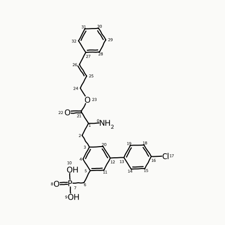 NC(Cc1cc(CP(=O)(O)O)cc(-c2ccc(Cl)cc2)c1)C(=O)OCC=Cc1ccccc1